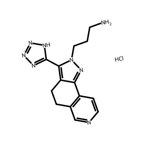 Cl.NCCCn1nc2c(c1-c1nnn[nH]1)CCc1cnccc1-2